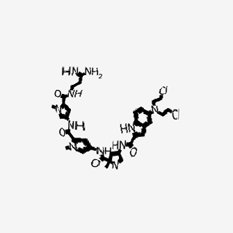 Cn1cc(NC(=O)c2cc(NC(=O)C3(C)C=C(NC(=O)c4cc5cc(N(CCCl)CCCl)ccc5[nH]4)C=N3)cn2C)cc1C(=O)NCCC(=N)N